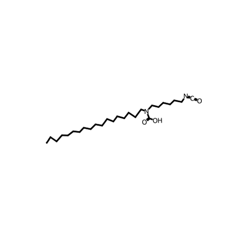 CCCCCCCCCCCCCCCCCCN(CCCCCCN=C=O)C(=O)O